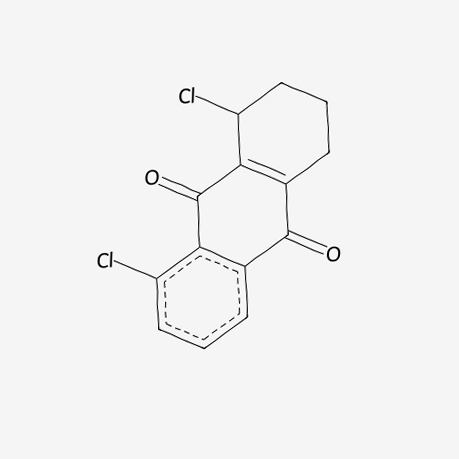 O=C1C2=C(C(=O)c3c(Cl)cccc31)C(Cl)CCC2